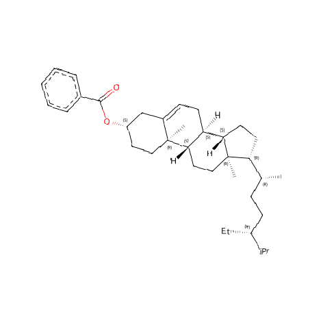 CC[C@H](CC[C@@H](C)[C@H]1CC[C@H]2[C@@H]3CC=C4C[C@@H](OC(=O)c5ccccc5)CC[C@]4(C)[C@H]3CC[C@]12C)C(C)C